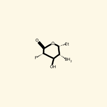 B[C@@H]1C(O)[C@H](F)C(=O)O[C@@H]1CC